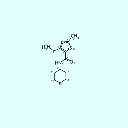 Cc1cc(CN)c(C(=O)NC2CCCCC2)s1